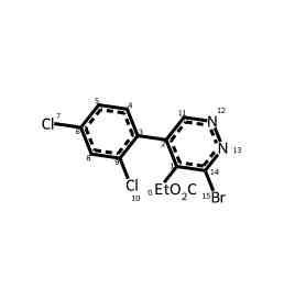 CCOC(=O)c1c(-c2ccc(Cl)cc2Cl)cnnc1Br